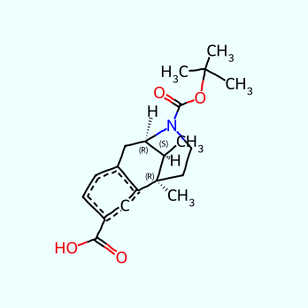 C[C@@H]1[C@H]2Cc3ccc(C(=O)O)cc3[C@]1(C)CCN2C(=O)OC(C)(C)C